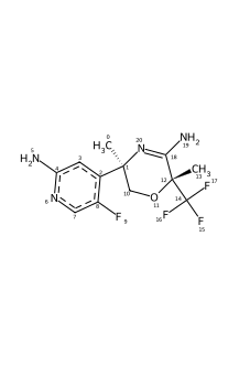 C[C@@]1(c2cc(N)ncc2F)CO[C@@](C)(C(F)(F)F)C(N)=N1